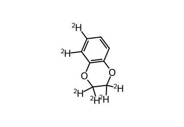 [2H]c1ccc2c(c1[2H])OC([2H])([2H])C([2H])([2H])O2